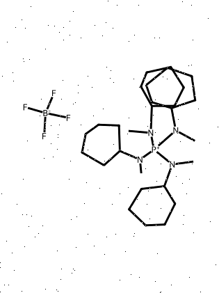 CN(C1CCCCC1)[P+](N(C)C1CCCCC1)(N(C)C1CCCCC1)N(C)C1CCCCC1.F[B-](F)(F)F